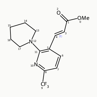 COC(=O)/C=C/c1ccc(C(F)(F)F)nc1N1CCCCC1